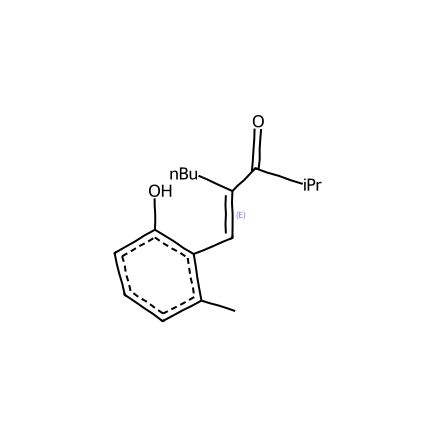 CCCC/C(=C\c1c(C)cccc1O)C(=O)C(C)C